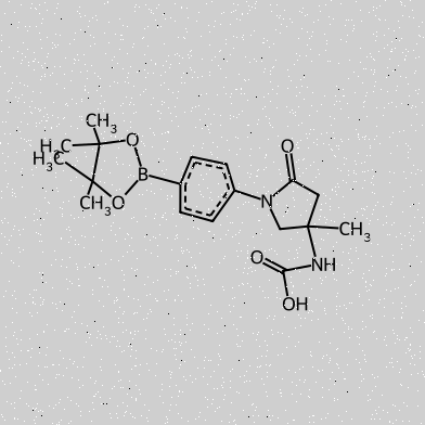 CC1(NC(=O)O)CC(=O)N(c2ccc(B3OC(C)(C)C(C)(C)O3)cc2)C1